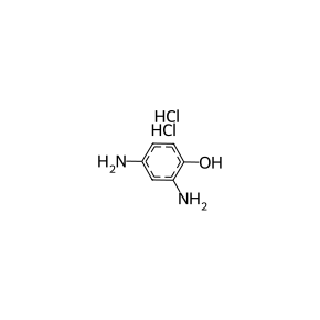 Cl.Cl.Nc1ccc(O)c(N)c1